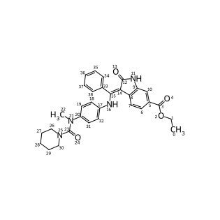 CCOC(=O)c1ccc2c(c1)NC(=O)C2=C(Nc1ccc(N(C)C(=O)N2CCCCC2)cc1)c1ccccc1